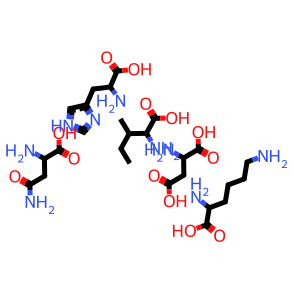 CCC(C)C(N)C(=O)O.NC(=O)CC(N)C(=O)O.NC(CC(=O)O)C(=O)O.NC(Cc1c[nH]cn1)C(=O)O.NCCCCC(N)C(=O)O